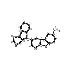 Cc1ccc2c(c1)-c1cc(-n3c4ccccc4c4ccccc43)ccc1C2